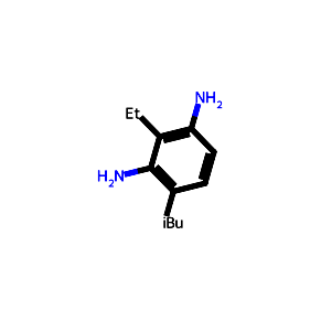 CCc1c(N)ccc(C(C)CC)c1N